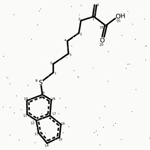 C=C(CCCCCCSc1ccc2ccccc2c1)C(=O)O